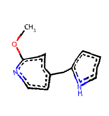 COc1cc(-c2ccc[nH]2)ccn1